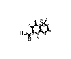 Cc1c(C)c2c(c(C)c1C(=O)O)CCCC2(C)C